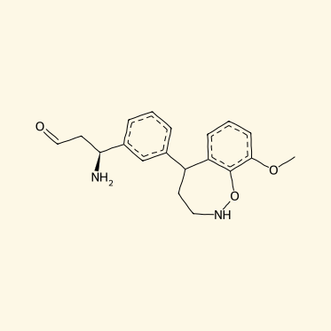 COc1cccc2c1ONCCC2c1cccc([C@@H](N)CC=O)c1